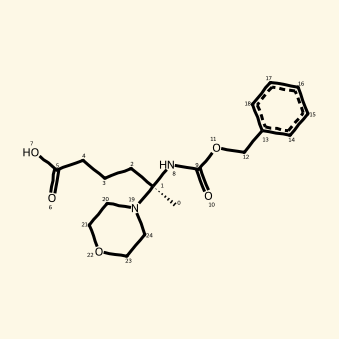 C[C@](CCCC(=O)O)(NC(=O)OCc1ccccc1)N1CCOCC1